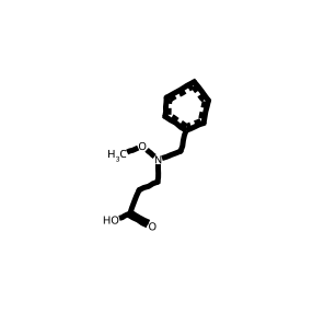 CON(CCC(=O)O)Cc1ccccc1